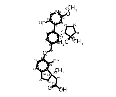 COc1cc(-c2ccc(COc3ccc4c(c3F)[C@@](C)(CC(=O)O)CC4)cc2[C@@H]2CCCC2(C)C)c(F)cn1